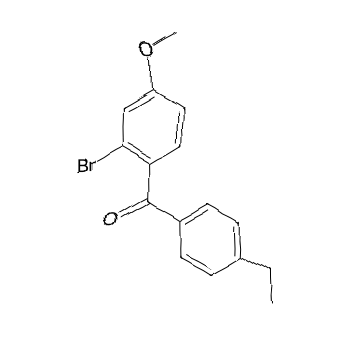 CCc1ccc(C(=O)c2ccc(OC)cc2Br)cc1